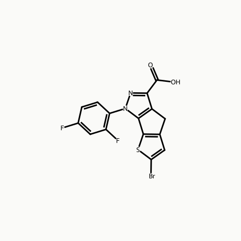 O=C(O)c1nn(-c2ccc(F)cc2F)c2c1Cc1cc(Br)sc1-2